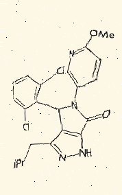 COc1ccc(N2C(=O)c3[nH]nc(CC(C)C)c3C2c2c(Cl)cccc2Cl)cn1